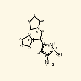 CCn1nc(C(CN2CCCC2)N2CCCC2)cc1N